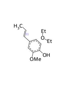 C/C=C/c1ccc(O)c(OC)c1.CCOCC